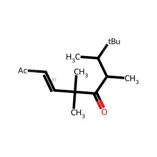 CC(=O)/C=C/C(C)(C)C(=O)C(C)C(C)C(C)(C)C